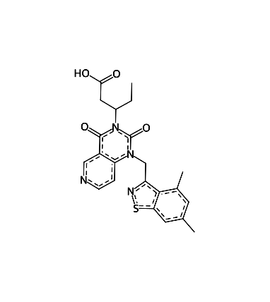 CCC(CC(=O)O)n1c(=O)c2cnccc2n(Cc2nsc3cc(C)cc(C)c23)c1=O